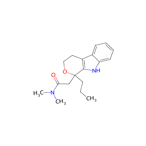 CCCC1(CC(=O)N(C)C)OCCc2c1[nH]c1ccccc21